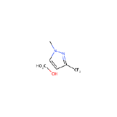 Cn1ccc(C(F)(F)F)n1.O=C(O)O